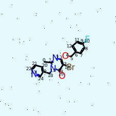 Cc1nc(OCc2ccc(F)cc2)c(Br)c(=O)n1Cc1cccnc1